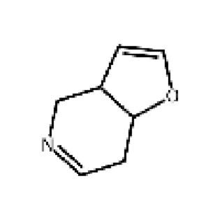 C1=CC2CN=CCC2O1